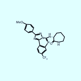 COc1ccc(-c2nc3c4ccc(C(F)(F)F)cc4nc(N[C@@H]4CCCCNC4=O)n3n2)cc1